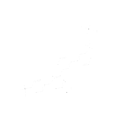 CC(C)(C)COS(=O)(=O)c1cccc(-c2cccc(-c3nc(-c4ccc(C(F)(F)F)cc4)cc(C(F)(F)F)n3)c2)c1